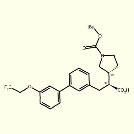 CC(C)(C)OC(=O)N1CC[C@H]([C@H](Cc2cccc(-c3cccc(OCC(F)(F)F)c3)c2)C(=O)O)C1